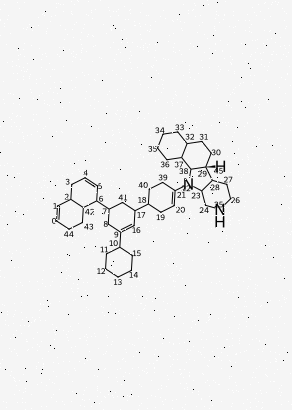 C1=CC2CC=CC(C3CC(C4CCCCC4)=CC(C4CC=C(N5C6CNCCC6[C@H]6CCC7CCCCC7C65)CC4)C3)C2CC1